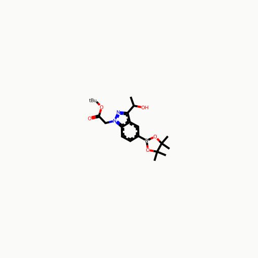 CC(O)c1nn(CC(=O)OC(C)(C)C)c2ccc(B3OC(C)(C)C(C)(C)O3)cc12